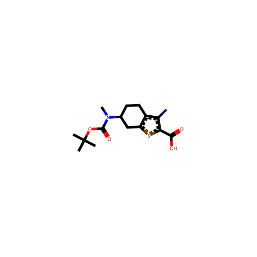 CN(C(=O)OC(C)(C)C)C1CCc2c(sc(C(=O)O)c2I)C1